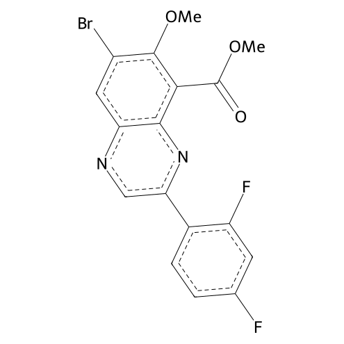 COC(=O)c1c(OC)c(Br)cc2ncc(-c3ccc(F)cc3F)nc12